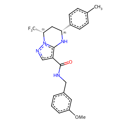 COc1cccc(CNC(=O)c2cnn3c2N[C@@H](c2ccc(C)cc2)C[C@H]3C(F)(F)F)c1